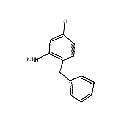 CC(=O)Nc1cc(Cl)ccc1Sc1ccccc1